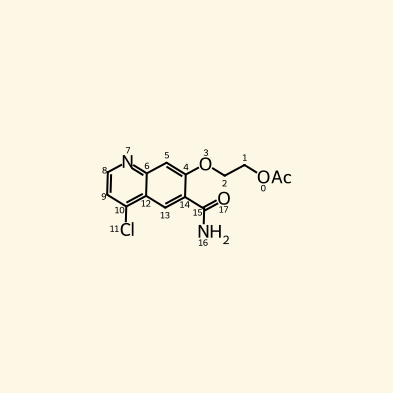 CC(=O)OCCOc1cc2nccc(Cl)c2cc1C(N)=O